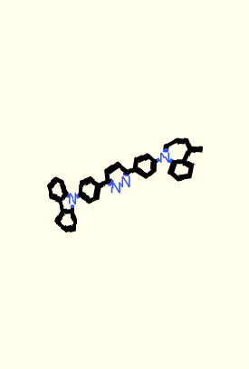 C=C1C=CCN(c2ccc(-c3ccc(-c4ccc(-n5c6ccccc6c6ccccc65)cc4)nn3)cc2)c2ccccc21